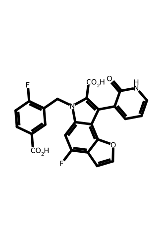 O=C(O)c1ccc(F)c(Cn2c(C(=O)O)c(-c3ccc[nH]c3=O)c3c4occc4c(F)cc32)c1